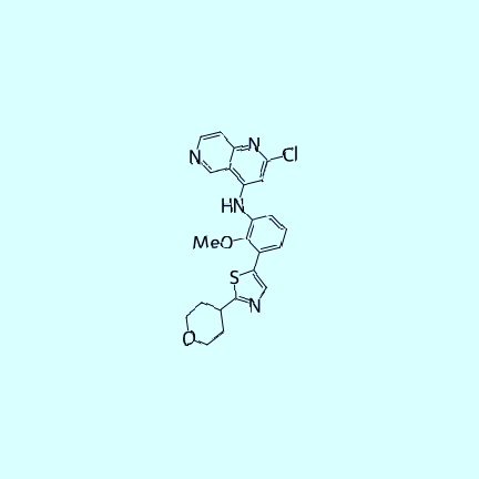 COc1c(Nc2cc(Cl)nc3ccncc23)cccc1-c1cnc(C2CCOCC2)s1